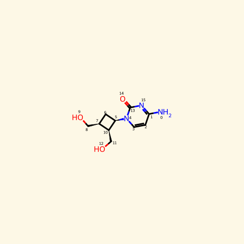 Nc1ccn([C@@H]2C[C@H](CO)[C@@H]2CO)c(=O)n1